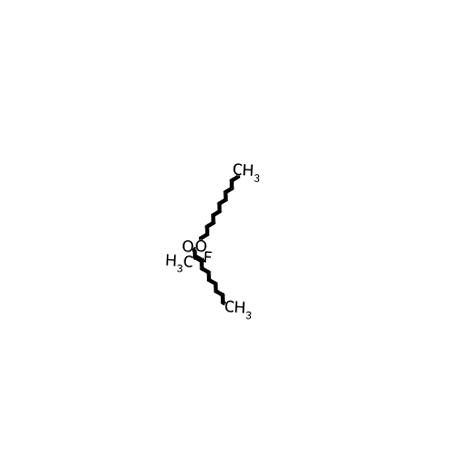 CCCCCCCCCCCCCOC(=O)C(C)=C(F)CCCCCCCC